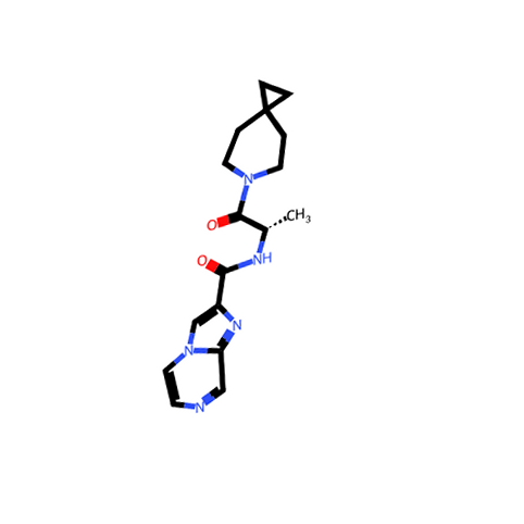 C[C@H](NC(=O)c1cn2ccncc2n1)C(=O)N1CCC2(CC1)CC2